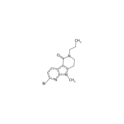 CCCN1CCc2c(c3ccc(Br)nc3n2C)C1=O